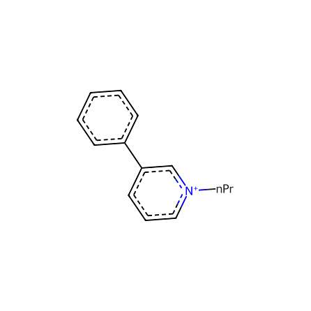 CCC[n+]1cccc(-c2ccccc2)c1